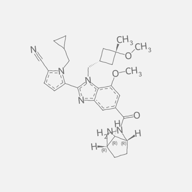 COc1cc(C(=O)N2C[C@H]3CC[C@@H]2[C@@H]3N)cc2nc(-c3ccc(C#N)n3CC3CC3)n(C[C@H]3C[C@@](C)(OC)C3)c12